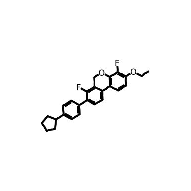 CCOc1ccc2c(c1F)OCc1c-2ccc(-c2ccc(C3CCCC3)cc2)c1F